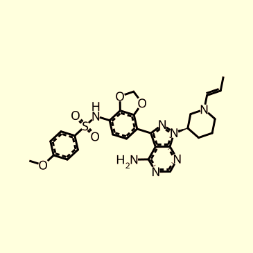 CC=CN1CCC[C@@H](n2nc(-c3ccc(NS(=O)(=O)c4ccc(OC)cc4)c4c3OCO4)c3c(N)ncnc32)C1